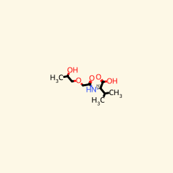 CC(O)COCC(=O)N[C@H](C(=O)O)C(C)C